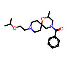 CC(C)OCCN1CCC2(CC1)CN(C(=O)c1ccccc1)CC(C)O2